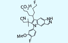 COc1cc(-n2c(C(C)(C)CC#N)c(C(CCCF)CCCC(=O)O)c3cc4[nH]ncc4cc32)ccc1F